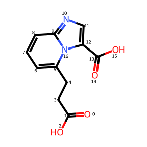 O=C(O)CCc1cccc2ncc(C(=O)O)n12